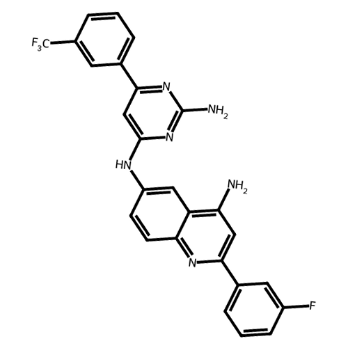 Nc1nc(Nc2ccc3nc(-c4cccc(F)c4)cc(N)c3c2)cc(-c2cccc(C(F)(F)F)c2)n1